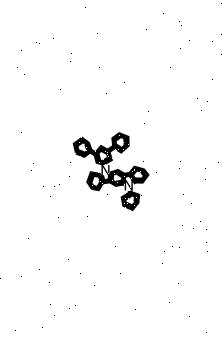 C1=Cc2c(c3cc4c(cc3n2-c2cc(-c3ccccc3)cc(-c3ccccc3)c2)c2ccccc2n4-c2ccccc2)CC1